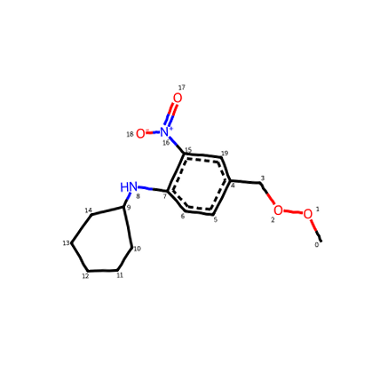 COOCc1ccc(NC2CCCCC2)c([N+](=O)[O-])c1